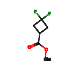 CCCCOC(=O)C1CC(F)(F)C1